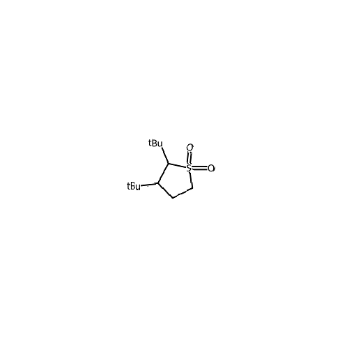 CC(C)(C)C1CCS(=O)(=O)C1C(C)(C)C